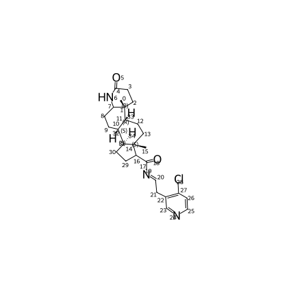 C[C@]12CCC(=O)NC1CC[C@@H]1[C@H]2CC[C@]2(C)C(C(=O)N=CCc3cnccc3Cl)CC[C@@H]12